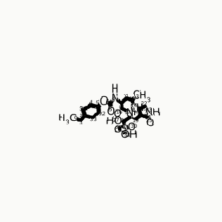 CCC1CCC(OC(=O)NC(CC(C)C)C(=O)N[C@@H](CC2CCNC2=O)C(O)S(=O)(=O)O)CC1